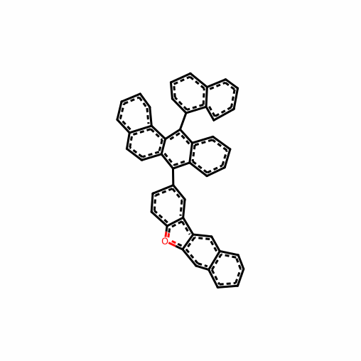 c1ccc2cc3c(cc2c1)oc1ccc(-c2c4ccccc4c(-c4cccc5ccccc45)c4c2ccc2ccccc24)cc13